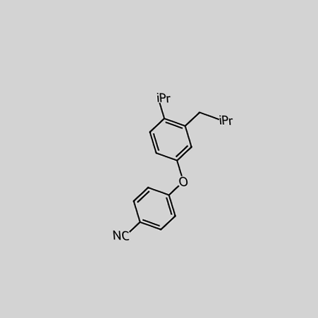 CC(C)Cc1cc(Oc2ccc(C#N)cc2)ccc1C(C)C